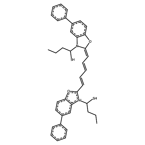 CCCC(S)N1C(=CC=CC=Cc2oc3ccc(-c4ccccc4)cc3[n+]2C(S)CCC)Oc2ccc(-c3ccccc3)cc21